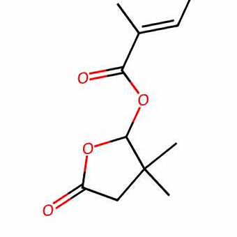 CC=C(C)C(=O)OC1OC(=O)CC1(C)C